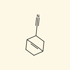 N#CC1CC2C=CC1CC2